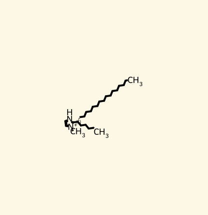 CCCCCCCCCCCCCCCC[C@H](CCCCC)c1[nH]cc[n+]1C